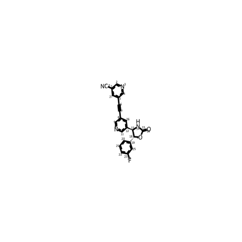 N#Cc1cncc(C#Cc2cncc([C@H]3NC(=O)O[C@@H]3c3cccc(F)c3)c2)c1